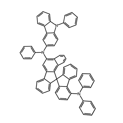 c1ccc(N(c2ccccc2)c2cccc3c2-c2ccccc2C32c3ccccc3-c3cc(N(c4ccccc4)c4ccc5c(c4)c4ccccc4n5-c4ccccc4)c4ccccc4c32)cc1